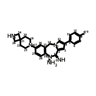 N=C1c2cc(-c3ccc(F)cc3)cn2Cc2cc(N3CCC4(CC3)CNC4)ccc2N1N